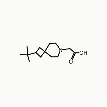 CC(C)(C)C1CC2(CCN(CC(=O)O)CC2)C1